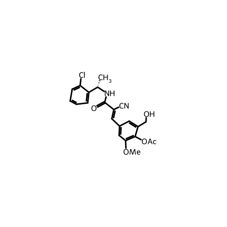 COc1cc(/C=C(\C#N)C(=O)N[C@@H](C)c2ccccc2Cl)cc(CO)c1OC(C)=O